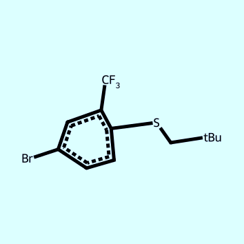 CC(C)(C)CSc1ccc(Br)cc1C(F)(F)F